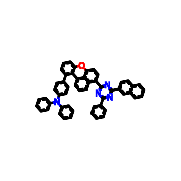 c1ccc(-c2nc(-c3ccc4ccccc4c3)nc(-c3ccc4c5c(cccc35)-c3c(cccc3-c3ccc(N(c5ccccc5)c5ccccc5)cc3)O4)n2)cc1